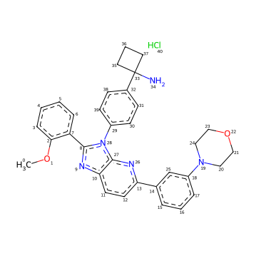 COc1ccccc1-c1nc2ccc(-c3cccc(N4CCOCC4)c3)nc2n1-c1ccc(C2(N)CCC2)cc1.Cl